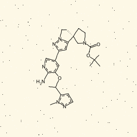 CC(Oc1cc(-c2cc3n(n2)CC[C@@]32CCN(C(=O)OC(C)(C)C)C2)cnc1N)c1ccnn1C